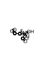 CC(C)(O)c1nn(-c2ccc(-c3cccc(S(C)(=O)=O)c3)cc2F)c(-c2cccc(Cl)c2Cl)c1Cl